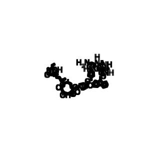 CCC(O)C(C)[C@H]1O[C@@H]1CC(C)(O)/C=C/C=C(\C)[C@H]1OC(=O)C[C@H](O)CC[C@@](C)(OC)[C@@H](OC(=O)N2CCN(C(=O)OCc3ccc(NC(=O)C(CC(N)=O)NC(=O)C(C)NC(=O)C(C)NC(=O)OCC4c5ccccc5-c5ccccc54)cc3)CC2)/C=C/[C@@H]1C